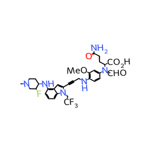 COc1cc(N(C=O)[C@@H](CCC(N)=O)C(=O)O)ccc1NCC#Cc1cc2c(N[C@@H]3CCN(C)C[C@@H]3F)cccc2n1CC(F)(F)F